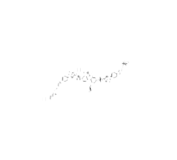 Cc1nn(-c2ccc(S(=O)(=O)CCOS(=O)(=O)O)cc2)c(O)c1/N=N/c1ccc(-c2ccc(/N=N/c3c(C)nn(-c4ccc(SOOCCS(=O)OOO)cc4)c3O)cc2S(=O)(=O)O)c(SOOO)c1